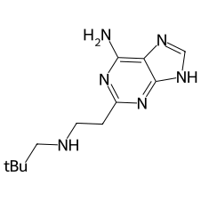 CC(C)(C)CNCCc1nc(N)c2nc[nH]c2n1